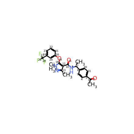 CC(=O)c1ccc([C@H](C)NC(=O)c2c(C)nn(C)c2Oc2cccc(C(F)(F)F)c2)cc1